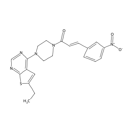 CCc1cc2c(N3CCN(C(=O)C=Cc4cccc([N+](=O)[O-])c4)CC3)ncnc2s1